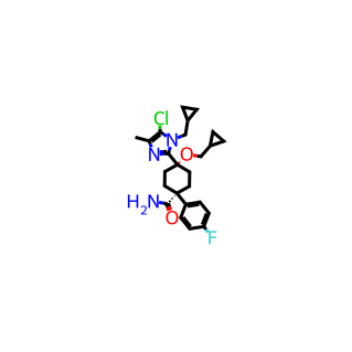 Cc1nc([C@]2(OCC3CC3)CC[C@](C(N)=O)(c3ccc(F)cc3)CC2)n(CC2CC2)c1Cl